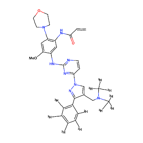 [2H]c1c([2H])c([2H])c(-c2nn(-c3ccnc(Nc4cc(NC(=O)C=C)c(N5CCOCC5)cc4OC)n3)cc2CN(C([2H])([2H])[2H])C([2H])([2H])[2H])c([2H])c1[2H]